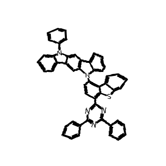 c1ccc(-c2nc(-c3ccccc3)nc(-c3ccc(-n4c5ccccc5c5cc6c(cc54)c4ccccc4n6-c4ccccc4)c4c3sc3ccccc34)n2)cc1